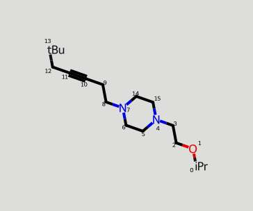 CC(C)OCCN1CCN(CCC#CCC(C)(C)C)CC1